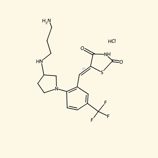 Cl.NCCCNC1CCN(c2ccc(C(F)(F)F)cc2/C=C2\SC(=O)NC2=O)C1